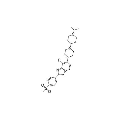 CC(C)N1CCC(N2CCC(c3ccn4cc(-c5ccc(S(C)(=O)=O)cc5)nc4c3F)CC2)CC1